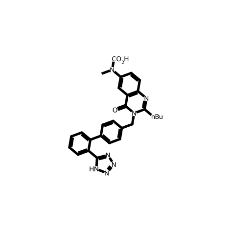 CCCCc1nc2ccc(N(C)C(=O)O)cc2c(=O)n1Cc1ccc(-c2ccccc2-c2nnn[nH]2)cc1